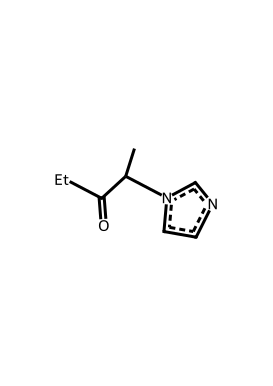 CCC(=O)C(C)n1ccnc1